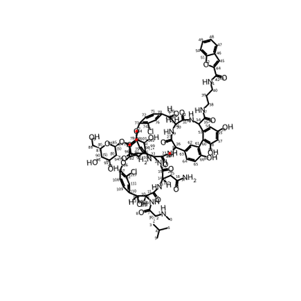 CN[C@H](CC(C)C)C(=O)N[C@H]1C(=O)N[C@@H](CC(N)=O)C(=O)NC2C(=O)N[C@H]3C(=O)N[C@H](C(=O)NC(C(=O)NCCCNC(=O)c4cc5ccccc5o4)c4cc(O)cc(O)c4-c4cc3ccc4O)[C@H](O)c3ccc(c(Cl)c3)Oc3cc2cc(c3O[C@@H]2O[C@H](CO)[C@@H](O)[C@H](O)[C@H]2OC2C[C@](C)(N)[C@H](O)[C@H](C)O2)Oc2ccc(cc2Cl)[C@H]1O